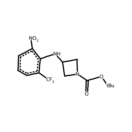 CC(C)(C)OC(=O)N1CC(Nc2c([N+](=O)[O-])cccc2C(F)(F)F)C1